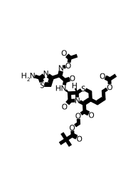 CC(=O)OC/C=C\C1=C(C(=O)OCOC(=O)C(C)(C)C)N2C(=O)[C@@H](NC(=O)/C(=N\OC(C)=O)c3csc(N)n3)[C@@H]2SC1